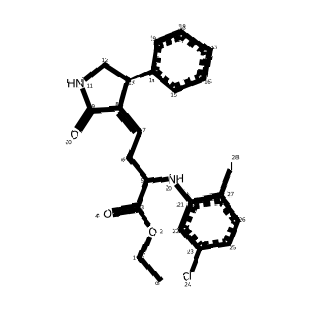 CCOC(=O)C(CC=C1C(=O)NC[C@H]1c1ccccc1)Nc1cc(Cl)ccc1I